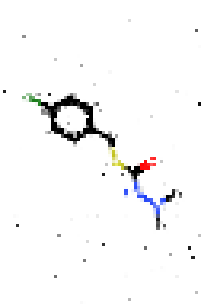 CCN(CC)NC(=O)SCc1ccc(Cl)cc1